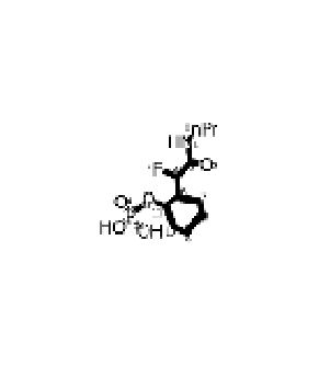 CCCNC(=O)C(F)c1ccccc1OP(=O)(O)O